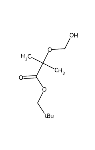 CC(C)(C)COC(=O)C(C)(C)OCO